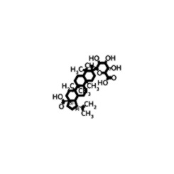 C=C(C)[C@@H]1CC[C@]2(C(=O)O)CC[C@]3(C)C(CCC4[C@@]5(C)CCC6(C[C@]67OC(C(=O)O)[C@@H](O)C(O)C7O)C(C)(C)C5CC[C@]43C)C12